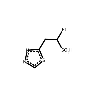 CCC(Cc1nncs1)S(=O)(=O)O